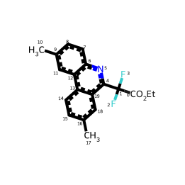 CCOC(=O)C(F)(F)c1nc2ccc(C)cc2c2ccc(C)cc12